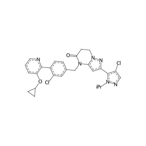 CC(C)n1ncc(Cl)c1-c1cc2n(n1)CCC(=O)N2Cc1ccc(-c2ncccc2OC2CC2)c(Cl)c1